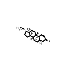 C=C[C@H]1CC[C@H]2[C@@H]3CC[C@H]4CC(=O)C=C[C@]4(C)[C@H]3CC[C@]12C